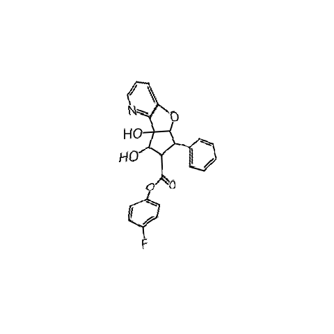 O=C(Oc1ccc(F)cc1)C1C(c2ccccc2)C2Oc3cccnc3C2(O)C1O